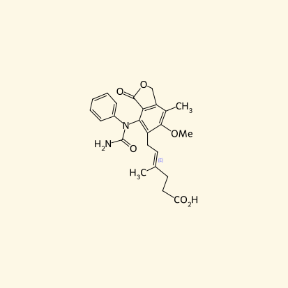 COc1c(C)c2c(c(N(C(N)=O)c3ccccc3)c1C/C=C(\C)CCC(=O)O)C(=O)OC2